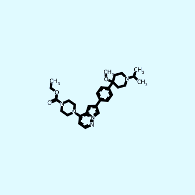 CCOC(=O)N1CCN(c2ccnn3cc(-c4ccc(C5(OC)CCN(C(C)C)CC5)cc4)cc23)CC1